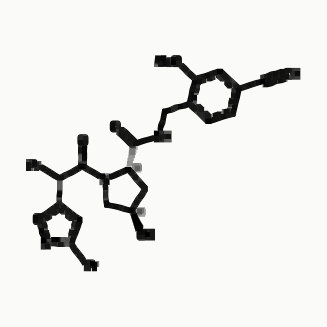 C#Cc1ccc(CNC(=O)[C@@H]2C[C@@H](O)CN2C(=O)C(c2cc(C(C)C)no2)C(C)C)c(OC)c1